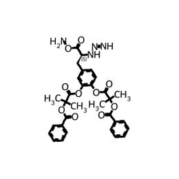 CC(C)(OC(=O)c1ccccc1)C(=O)Oc1ccc(C[C@H](NN=N)C(=O)ON)cc1OC(=O)C(C)(C)OC(=O)c1ccccc1